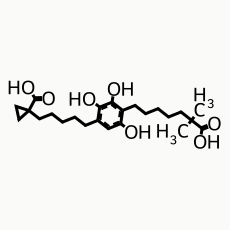 CC(C)(CCCCCc1c(O)cc(CCCCCC2(C(=O)O)CC2)c(O)c1O)C(=O)O